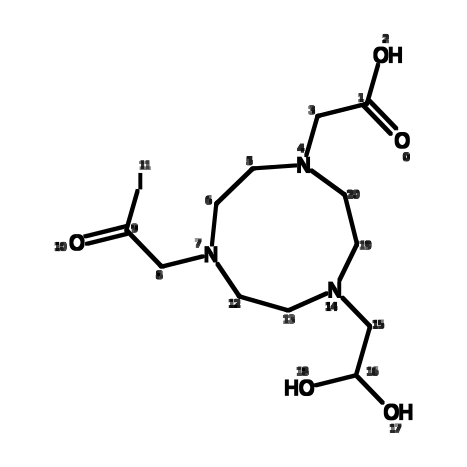 O=C(O)CN1CCN(CC(=O)I)CCN(CC(O)O)CC1